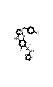 O=S(=O)(Nc1nccs1)c1cc(F)c(Nc2ccn(Cc3ccc(Cl)cc3)n2)cc1F